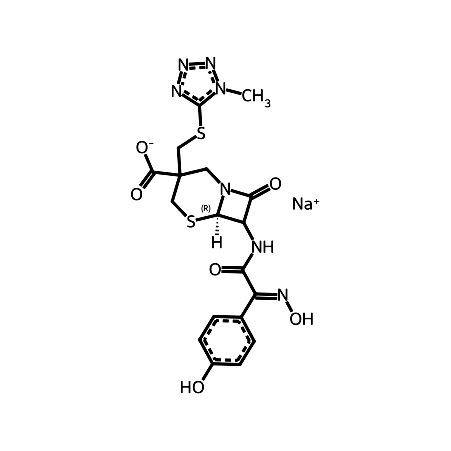 Cn1nnnc1SCC1(C(=O)[O-])CS[C@@H]2C(NC(=O)C(=NO)c3ccc(O)cc3)C(=O)N2C1.[Na+]